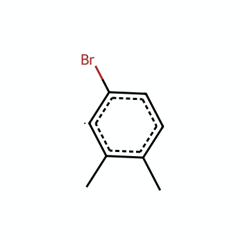 Cc1[c]c(Br)ccc1C